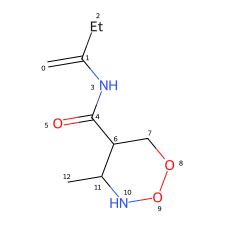 C=C(CC)NC(=O)C1COONC1C